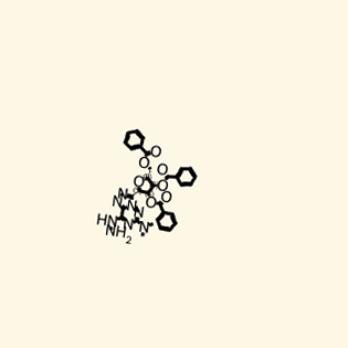 CN(C)c1nc(NN)c2nnc([C@@H]3O[C@H](COC(=O)c4ccccc4)[C@@H](OC(=O)c4ccccc4)[C@H]3OC(=O)c3ccccc3)n2n1